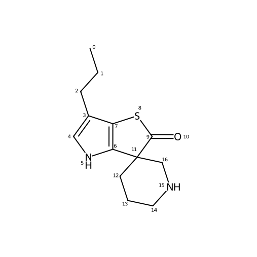 CCCc1c[nH]c2c1SC(=O)C21CCCNC1